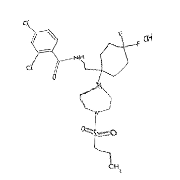 CCCS(=O)(=O)N1CCN(C2(CNC(=O)c3ccc(Cl)cc3Cl)CCC(F)(F)CC2)CC1.Cl